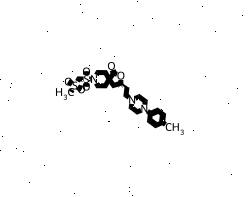 Cc1ccc(N2CCN(CC[C@H]3CC4(CCN(S(=O)(=O)CS(C)(=O)=O)CC4)C(=O)O3)CC2)cc1